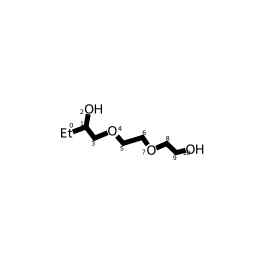 CCC(O)COCCOCCO